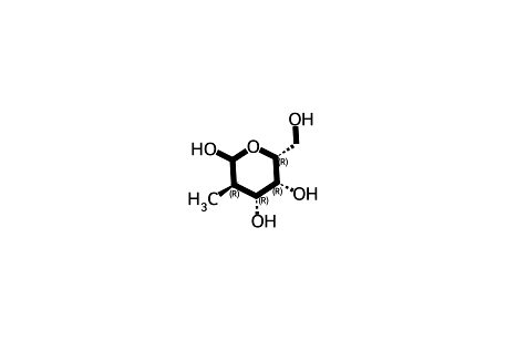 C[C@H]1C(O)O[C@H](CO)[C@H](O)[C@@H]1O